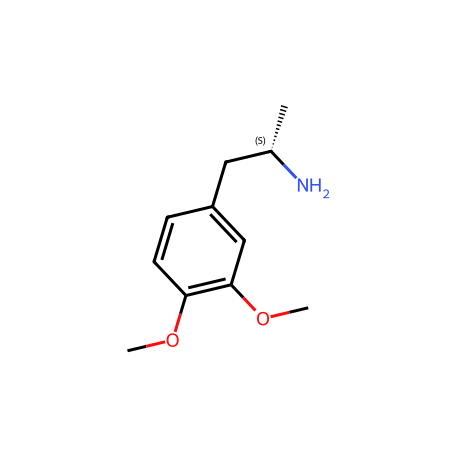 COc1ccc(C[C@H](C)N)cc1OC